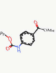 CCCOC(=O)Nc1ccc(C(=O)OC)cc1